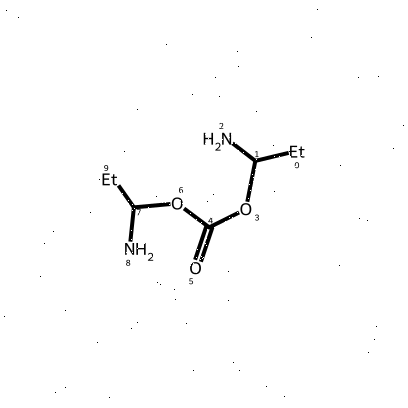 CCC(N)OC(=O)OC(N)CC